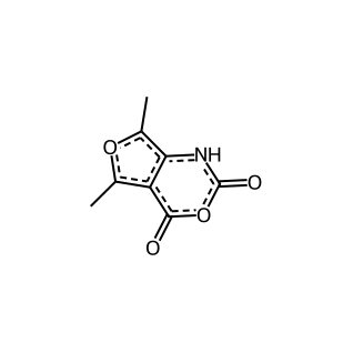 Cc1oc(C)c2c(=O)oc(=O)[nH]c12